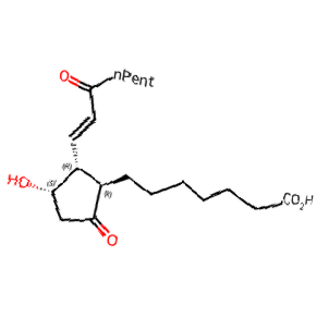 CCCCCC(=O)C=C[C@H]1[C@@H](O)CC(=O)[C@@H]1CCCCCCC(=O)O